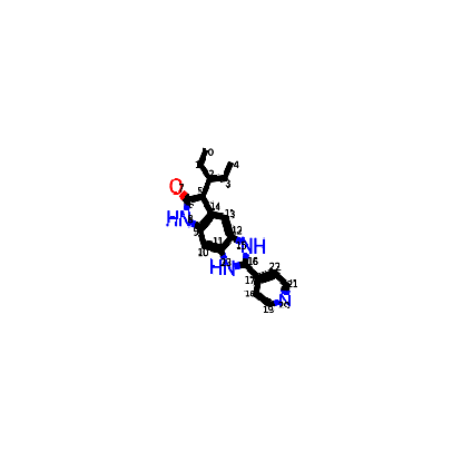 CCC(CC)C1C(=O)Nc2cc3c(cc21)NC(c1ccncc1)N3